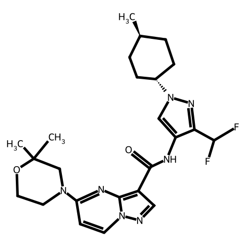 CC1(C)CN(c2ccn3ncc(C(=O)Nc4cn([C@H]5CC[C@H](C)CC5)nc4C(F)F)c3n2)CCO1